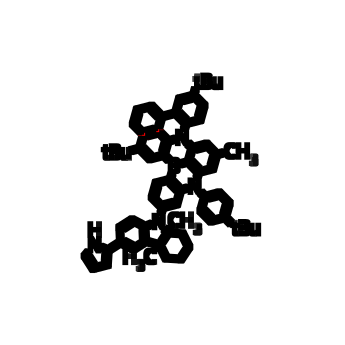 Cc1cc2c3c(c1)N(c1ccc(C(C)(C)C)cc1-c1ccccc1)c1ccc(C(C)(C)C)cc1B3c1ccc(N3c4ccc(-c5ccc[nH]5)cc4C4(C)CCCCC34C)cc1N2c1ccc(C(C)(C)C)cc1